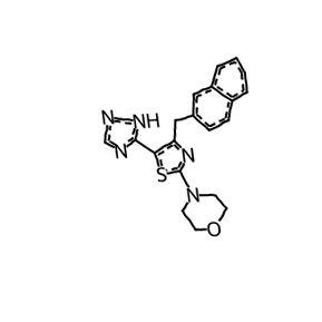 c1ccc2cc(Cc3nc(N4CCOCC4)sc3-c3ncn[nH]3)ccc2c1